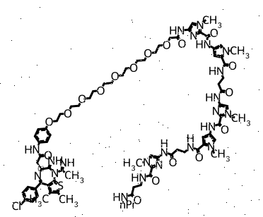 CCCNC(=O)CCNC(=O)c1nc(NC(=O)CCNC(=O)c2cc(NC(=O)c3nc(NC(=O)CCNC(=O)c4cc(NC(=O)c5nc(NC(=O)COCCOCCOCCOCCOCCOCCOCCOc6ccc(NC(=O)C[C@@H]7N=C(c8ccc(Cl)cc8)c8c(sc(C)c8C)N(C(C)=N)C7=N)cc6)cn5C)cn4C)cn3C)cn2C)cn1C